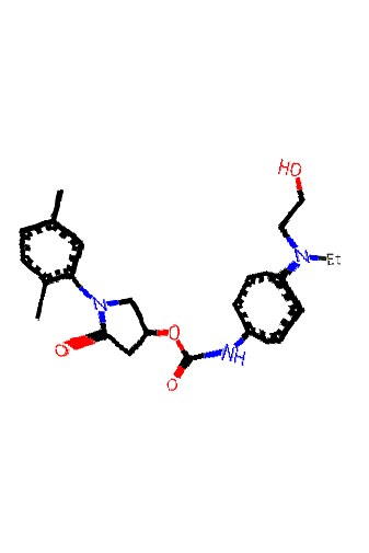 CCN(CCO)c1ccc(NC(=O)OC2CC(=O)N(c3cc(C)ccc3C)C2)cc1